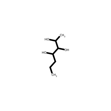 CCCC(O)C(O)C(C)O